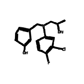 CC(O)CN(Cc1cccc(O)c1)c1ccc(F)c(Cl)c1